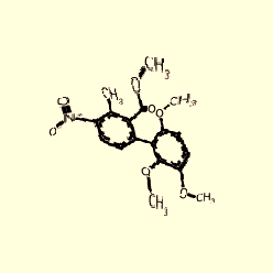 COC(=O)c1c(-c2c(OC)ccc(OC)c2OC)ccc([N+](=O)[O-])c1C